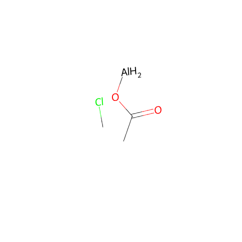 CC(=O)[O][AlH2].CCl